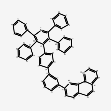 c1ccc(-c2nc(-c3ccccc3)c(-c3ccccc3)c(-c3ccc(-c4cccc(-c5ccc6ccc7cccnc7c6n5)c4)cc3)c2-c2ccccc2)cc1